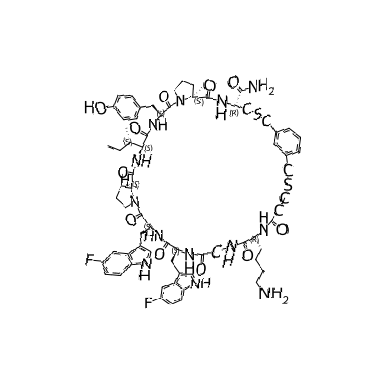 CC[C@H](C)[C@@H]1NC(=O)[C@@H]2CCCN2C(=O)[C@H](Cc2c[nH]c3ccc(F)cc23)NC(=O)[C@H](Cc2c[nH]c3ccc(F)cc23)NC(=O)CNC(=O)[C@@H](CCCCN)NC(=O)CCSCc2cccc(c2)CSC[C@@H](C(N)=O)NC(=O)[C@]2(C)CCCN2C(=O)[C@H](Cc2ccc(O)cc2)NC1=O